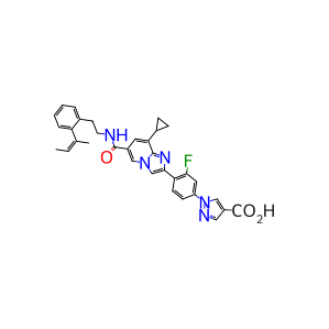 C/C=C(/C)c1ccccc1CCNC(=O)c1cc(C2CC2)c2nc(-c3ccc(-n4cc(C(=O)O)cn4)cc3F)cn2c1